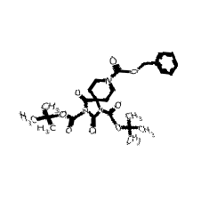 CC(C)(C)OC(=O)N1C(=O)N(C(=O)OC(C)(C)C)C2(CCN(C(=O)OCc3ccccc3)CC2)C1=O